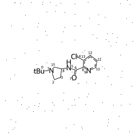 CC(C)(C)N1CCC(NC(=O)c2ncccc2Cl)C1